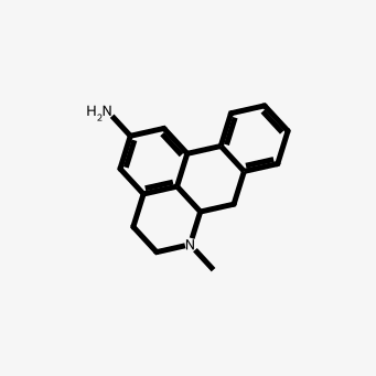 CN1CCc2cc(N)cc3c2C1Cc1ccccc1-3